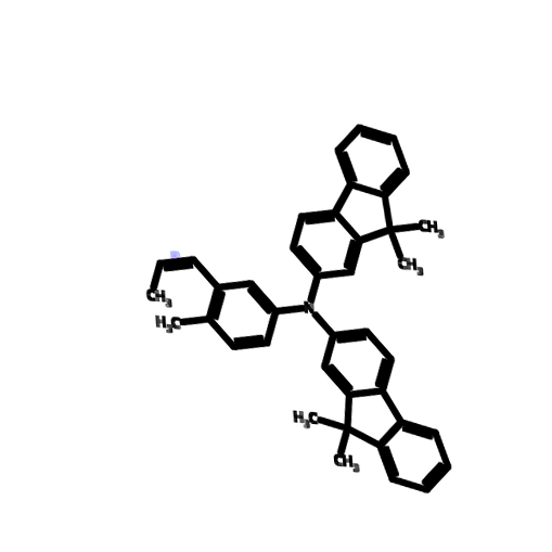 C/C=C\c1cc(N(c2ccc3c(c2)C(C)(C)c2ccccc2-3)c2ccc3c(c2)C(C)(C)c2ccccc2-3)ccc1C